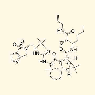 C=CCNC(=O)C(=O)C(CCCC)NC(=O)[C@@H]1[C@@H]2[C@H](CN1C(=O)[C@@H](NC(=O)N[C@H](CN1Cc3sccc3S1(=O)=O)C(C)(C)C)C1(C)CCCCC1)C2(C)C